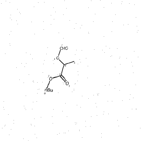 CCCCOC(=O)C(C)OC=O